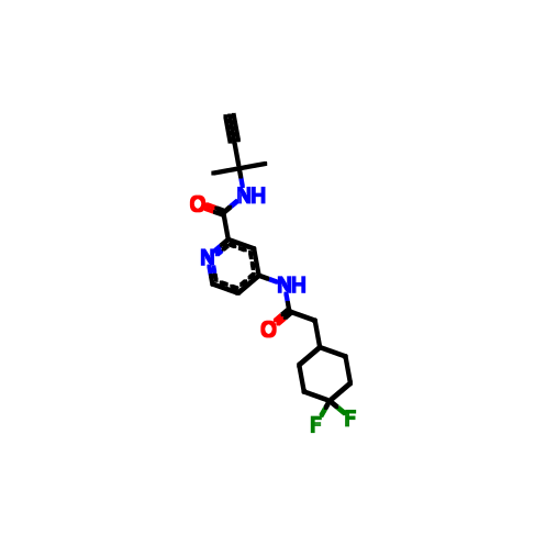 C#CC(C)(C)NC(=O)c1cc(NC(=O)CC2CCC(F)(F)CC2)ccn1